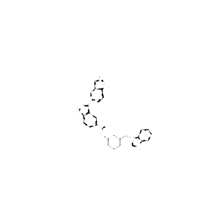 Cn1cc2cc(-c3n[nH]c4ccc(C(=O)NC5CCCC(Cn6cnc7ccccc76)C5)cc34)ccc2n1